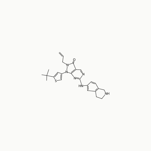 C=CCn1c(=O)c2cnc(Nc3ccc4c(c3)CCNC4)nc2n1-c1csc(C(C)(C)C)c1